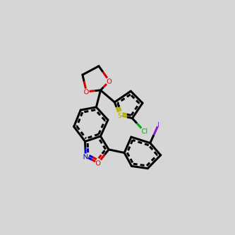 Clc1ccc(C2(c3ccc4noc(-c5cccc(I)c5)c4c3)OCCO2)s1